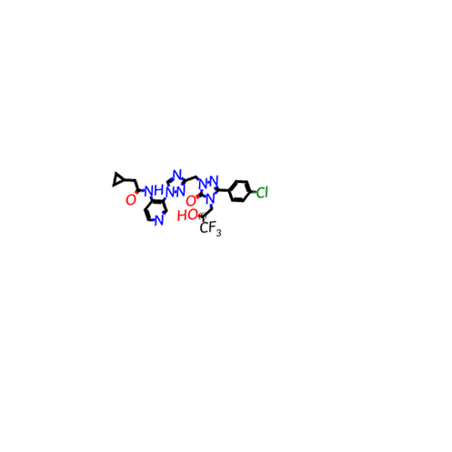 O=C(CC1CC1)Nc1ccncc1-n1cnc(Cn2nc(-c3ccc(Cl)cc3)n(C[C@H](O)C(F)(F)F)c2=O)n1